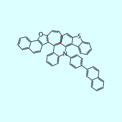 C1=Cc2oc3c(ccc4ccccc43)c2C(c2ccccc2N(c2ccc(-c3ccc4ccccc4c3)cc2)c2cccc3sc4ccccc4c23)=CC1